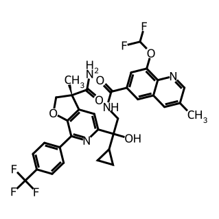 Cc1cnc2c(OC(F)F)cc(C(=O)NCC(O)(c3cc4c(c(-c5ccc(C(F)(F)F)cc5)n3)OC[C@]4(C)C(N)=O)C3CC3)cc2c1